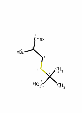 CCCCCCC(CCCC)CSC(C)(C)C(=O)O